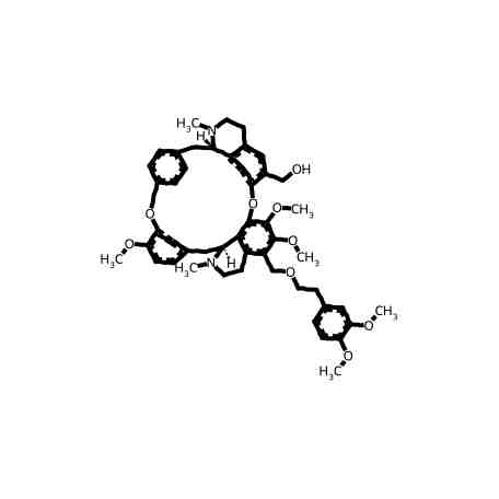 COc1ccc(CCOCc2c3c4c(c(OC)c2OC)Oc2cc5c(cc2CO)CCN(C)[C@H]5Cc2ccc(cc2)Oc2cc(ccc2OC)C[C@@H]4N(C)CC3)cc1OC